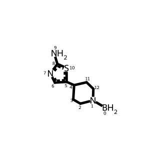 BN1CCC(c2cnc(N)s2)CC1